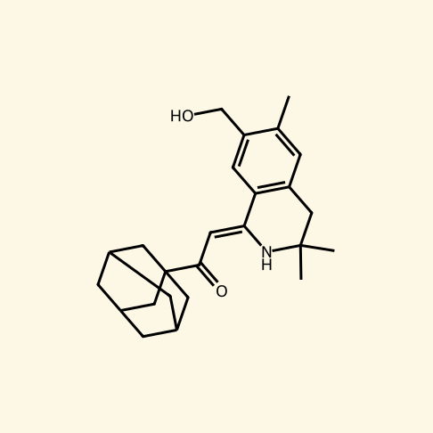 Cc1cc2c(cc1CO)C(=CC(=O)C13CC4CC(CC(C4)C1)C3)NC(C)(C)C2